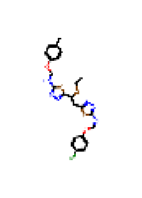 CCSC(Cc1nnc(/N=C\Oc2ccc(Br)cc2)s1)c1nnc(NCOc2ccc(C)cc2)s1